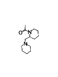 CC(=O)N1CCCCC1CN1CCCCC1